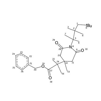 CC(C)(C)CC(C)(C)C(C)(C)N1C(=O)CC(C)(C(C)(C)C(=O)OCc2ccccc2)CC1=O